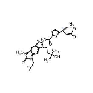 C/C=C(\C=C(CC)CC)c1ccc(C(=O)Nc2nc3cc4c(cc3n2CCC(C)(C)O)n(CC(F)(F)F)c(=O)n4C)s1